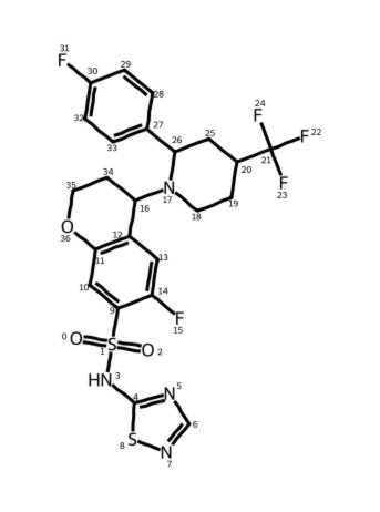 O=S(=O)(Nc1ncns1)c1cc2c(cc1F)C(N1CCC(C(F)(F)F)CC1c1ccc(F)cc1)CCO2